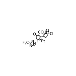 CCOC(=O)c1c(-c2ccc(Cl)c(Cl)c2)n(CC)c(Cn2cnc(C(F)(F)F)n2)cc1=O